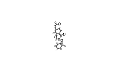 CC(=O)Oc1ccc2c(=O)c(Oc3ccccc3C)coc2c1